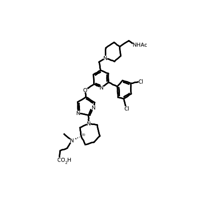 CC(=O)NCC1CCN(Cc2cc(Oc3cnc(N4CCCC[C@H](N(C)CCC(=O)O)C4)nc3)nc(-c3cc(Cl)cc(Cl)c3)c2)CC1